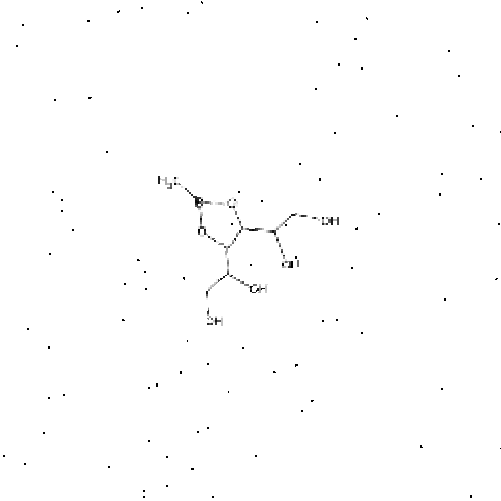 CB1OC(C(O)CO)C(C(O)CO)O1